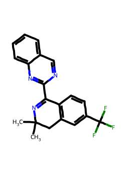 CC1(C)Cc2cc(C(F)(F)F)ccc2C(c2ncc3ccccc3n2)=N1